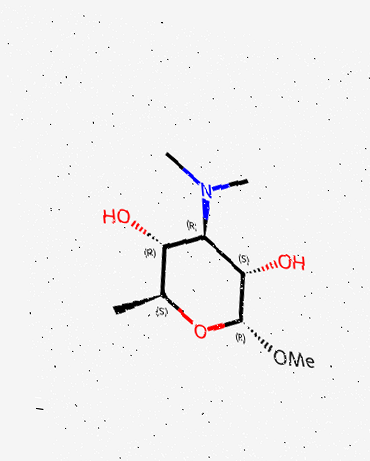 CO[C@@H]1O[C@@H](C)[C@H](O)[C@@H](N(C)C)[C@@H]1O